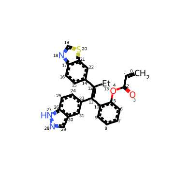 C=CC(=O)Oc1ccccc1/C(=C(\CC)c1ccc2ncsc2c1)c1ccc2[nH]ncc2c1